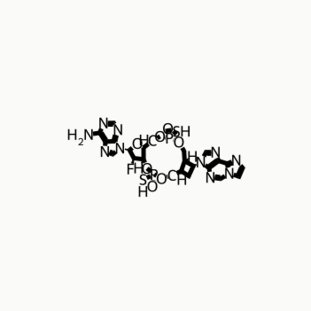 Nc1ncnc2c1ncn2[C@@H]1O[C@@H]2COP(=O)(S)OC[C@@H]3[C@@H](COP(=O)(S)O[C@H]2[C@H]1F)C[C@H]3n1cnc2c1ncn1ccnc21